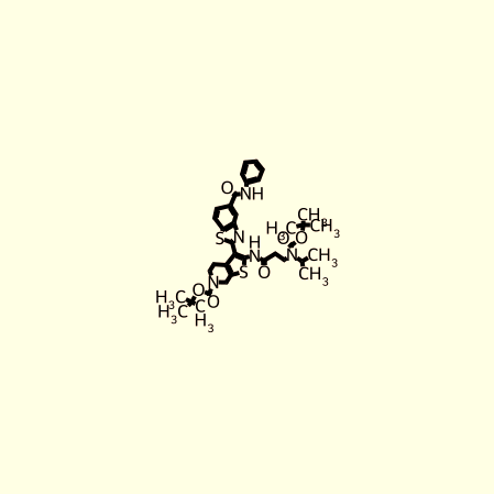 CC(C)N(CCC(=O)Nc1sc2c(c1-c1nc3cc(C(=O)Nc4ccccc4)ccc3s1)CCN(C(=O)OC(C)(C)C)C2)C(=O)OC(C)(C)C